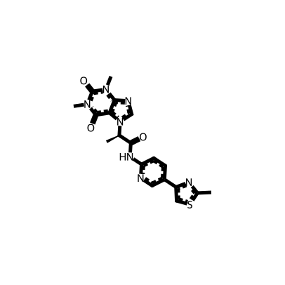 Cc1nc(-c2ccc(NC(=O)[C@@H](C)n3cnc4c3c(=O)n(C)c(=O)n4C)nc2)cs1